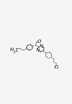 CCCc1ccc(C(C=O)c2ncc(C3CCC(CCCCl)CC3)cn2)cc1